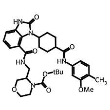 COc1cc(NC(=O)C2CCC(n3c(=O)[nH]c4cccc(C(=O)NCC5COCCN5C(=O)OC(C)(C)C)c43)CC2)ccc1C